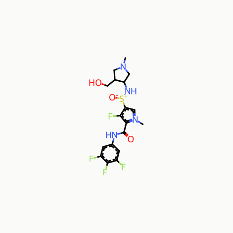 CN1CC(CO)C(N[S+]([O-])c2cn(C)c(C(=O)Nc3cc(F)c(F)c(F)c3)c2F)C1